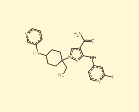 N#CCC1(n2cc(C(N)=O)c(Nc3ccnc(F)c3)n2)CCC(Nc2cccnc2)CC1